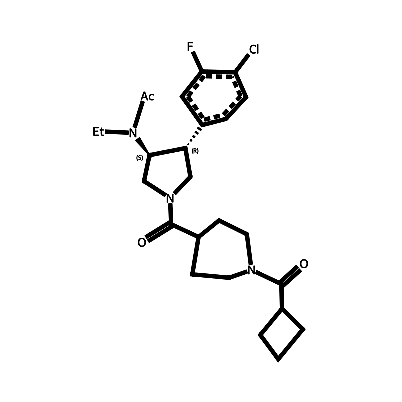 CCN(C(C)=O)[C@@H]1CN(C(=O)C2CCN(C(=O)C3CCC3)CC2)C[C@H]1c1ccc(Cl)c(F)c1